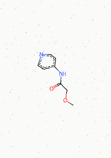 COCC(=O)Nc1[c]cncc1